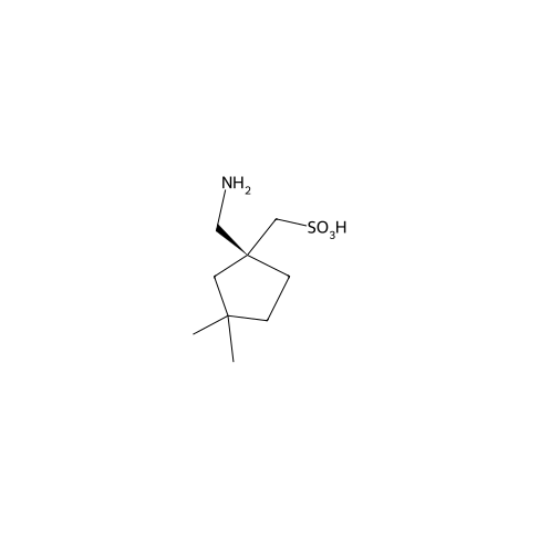 CC1(C)CC[C@@](CN)(CS(=O)(=O)O)C1